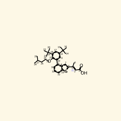 C/C(=C\C(=O)O)c1cc2c(-c3cc(C(C)(C)C)cc(C(C)(C)C)c3OCCC(C)C)cccc2s1